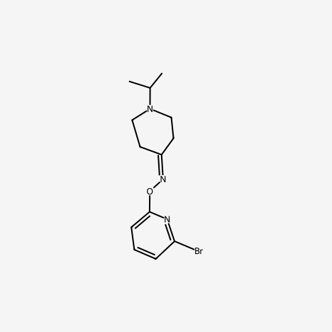 CC(C)N1CCC(=NOc2cccc(Br)n2)CC1